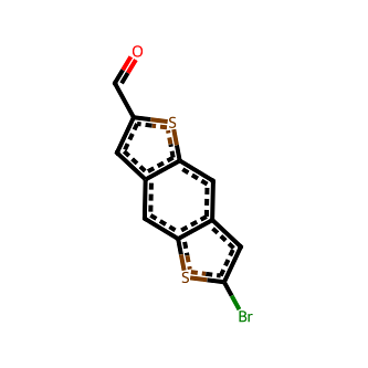 O=Cc1cc2cc3sc(Br)cc3cc2s1